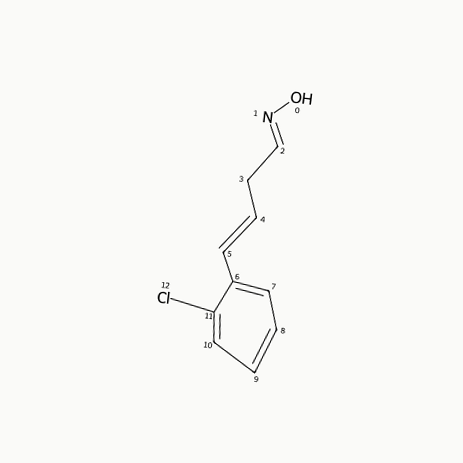 ON=CCC=Cc1ccccc1Cl